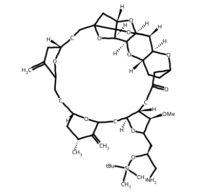 C=C1C[C@@H]2CCC34C[C@@H]5O[C@@H]6[C@@H](O[C@H]7CCC(CC(=O)C[C@H]8[C@H](CC9O[C@@H](CCC1O2)C[C@@H](C)C9=C)OC(C[C@@H](CN)O[Si](C)(C)C(C)(C)C)[C@@H]8OC)O[C@@H]7[C@@H]6O3)[C@H]5O4